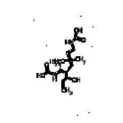 C=CC(O)[C@H](CC(C)(C)CCNC(=O)O)[C@@H](C)NC(=O)O